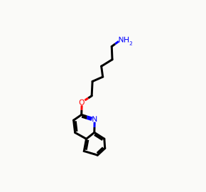 NCCCCCCOc1ccc2ccccc2n1